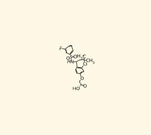 CC1(C)CC(NS(=O)(=O)c2cccc(F)c2)c2ccc(OCC(=O)O)cc2O1